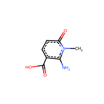 Cn1c(N)c(C(=O)O)ccc1=O